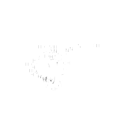 CO[C@H]1/C=C/OCC2=c3c(O)c(/C=N/N4CCN(C5CCC(C)C5)CC4)c4c(O)c3=C(O)C#CC2C[C@H]1[C@@](O)(OC(C)=O)[C@H](C)[C@H](O)[C@H](C)[C@@H](O)[C@@H](C)/C=C/C=C(/C)C(=O)N4